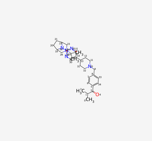 CC(C)C(=O)c1ccc(CN2CCC(c3cnc(N4C5CCC4CN(C(C)C)C5)nc3)CC2)cc1